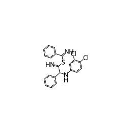 N=C(SC(=N)C(Nc1ccc(Cl)c(Cl)c1)c1ccccc1)c1ccccc1